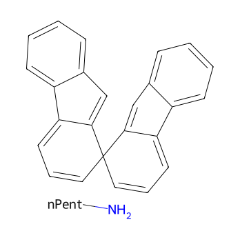 C1=CC2(C=CC=C3C2=Cc2ccccc23)C2=Cc3ccccc3C2=C1.CCCCCN